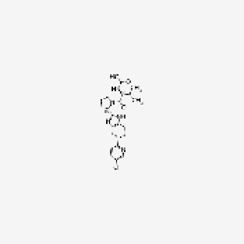 CC(C)[C@H](NC(=O)O)C(=O)N1CCC[C@H]1c1nc2cc(-c3ccc(Cl)cn3)ccc2[nH]1